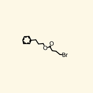 O=C(CCCBr)OCCCc1ccccc1